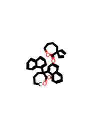 C=CC1(C=C)CCCCOC1=O.O=C1OCCCCC1(c1cccc2ccccc12)c1cccc2ccccc12